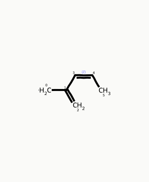 [CH2]C(=C)/C=C\C